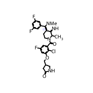 CN/C(=C1/CCN(C(=O)c2cc(F)cc(OCC3CNC(=O)C3)c2Cl)C(C)C1=N)c1cc(F)cc(F)c1